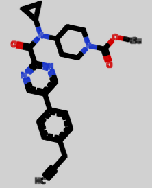 C#CCc1ccc(-c2cnc(C(=O)N(C3CC3)C3CCN(C(=O)OC(C)(C)C)CC3)nc2)cc1